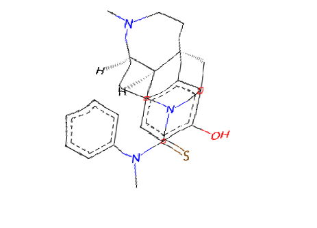 CN(C(=S)N1CC[C@]23CCN(C)[C@H](Cc4ccc(O)cc42)[C@@H]3C1)c1ccccc1